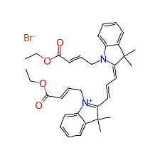 CCOC(=O)C=CCN1C(=CC=CC2=[N+](CC=CC(=O)OCC)c3ccccc3C2(C)C)C(C)(C)c2ccccc21.[Br-]